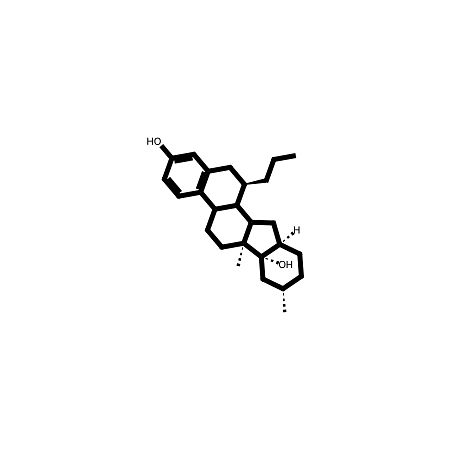 CCC[C@@H]1Cc2cc(O)ccc2C2CC[C@@]3(C)C(C[C@H]4CC[C@H](C)C[C@]43O)C21